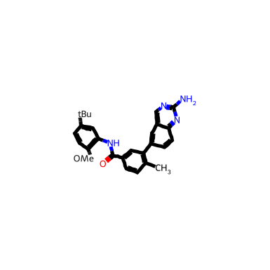 COc1ccc(C(C)(C)C)cc1NC(=O)c1ccc(C)c(-c2ccc3nc(N)ncc3c2)c1